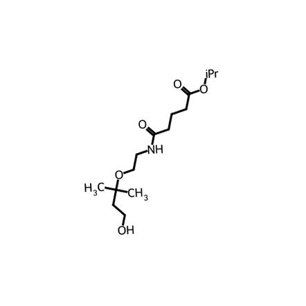 CC(C)OC(=O)CCCC(=O)NCCOC(C)(C)CCO